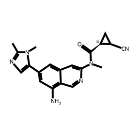 Cc1ncc(-c2cc(N)c3cnc(N(C)C(=O)[C@H]4CC4C#N)cc3c2)n1C